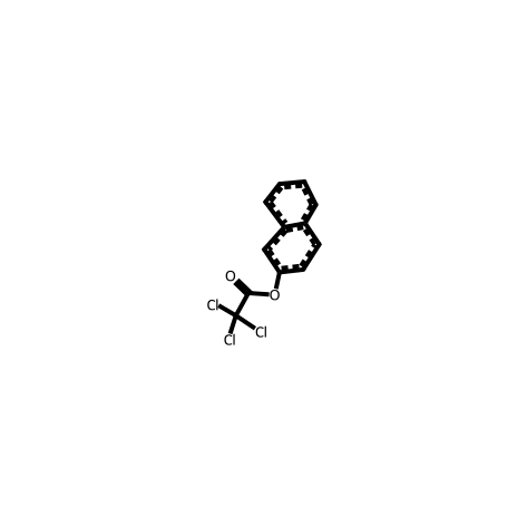 O=C(Oc1ccc2ccccc2c1)C(Cl)(Cl)Cl